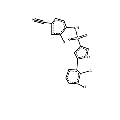 N#Cc1ccc(NS(=O)(=O)c2c[nH]c(-c3cccc(Cl)c3Cl)c2)c(F)c1